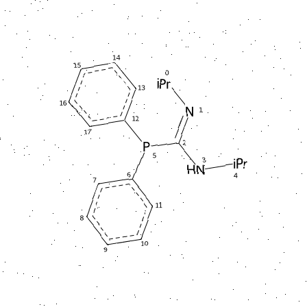 CC(C)/N=C(/NC(C)C)P(c1ccccc1)c1ccccc1